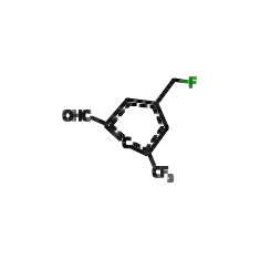 O=Cc1cc(CF)cc(C(F)(F)F)c1